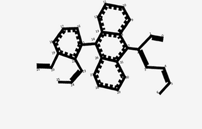 C=C/C(=C\C=C/C)c1c2ccccc2c(-c2cccc(C=C)c2/C=C\C)c2ccccc12